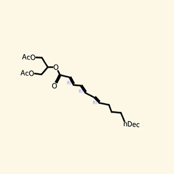 CCCCCCCCCCCCC/C=C/C=C/C=C/C(=O)OC(COC(C)=O)COC(C)=O